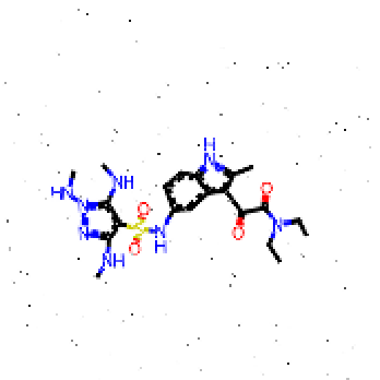 CCN(CC)C(=O)C(=O)c1c(C)[nH]c2ccc(NS(=O)(=O)c3c(NC)nn(NC)c3NC)cc12